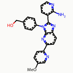 COc1ccc(-c2ccc3nc(-c4cccnc4N)n(-c4ccc(CO)cc4)c3n2)nc1